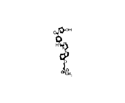 CS(=O)(=O)CCCOc1cccc2c1CCN2c1ccnc(N[C@H]2CC[C@H](C(=O)N3CC[C@H](O)C3)CC2)n1